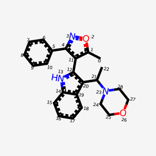 Cc1onc(-c2ccccc2)c1-c1[nH]c2ccccc2c1C(C)N1CCOCC1